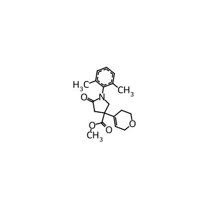 COC(=O)C1(C2=CCOCC2)CC(=O)N(c2c(C)cccc2C)C1